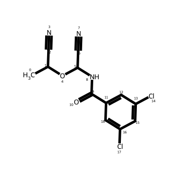 CC(C#N)OC(C#N)NC(=O)c1cc(Cl)cc(Cl)c1